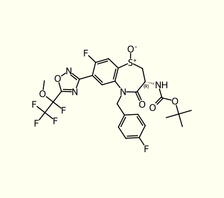 COC(F)(c1nc(-c2cc3c(cc2F)[S+]([O-])C[C@H](NC(=O)OC(C)(C)C)C(=O)N3Cc2ccc(F)cc2)no1)C(F)(F)F